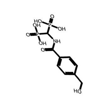 O=C(NC(P(=O)(O)O)P(=O)(O)O)c1ccc(CO)cc1